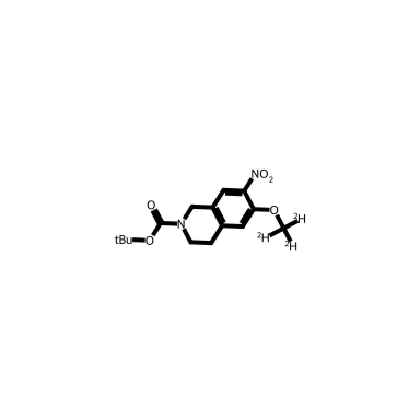 [2H]C([2H])([2H])Oc1cc2c(cc1[N+](=O)[O-])CN(C(=O)OC(C)(C)C)CC2